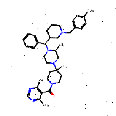 COc1ccc(CN2CCCC([C@H](c3ccccc3)N3CCN(C4(C)CCN(C(=O)c5c(C)ncnc5C)CC4)C[C@@H]3C)C2)cc1